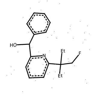 CCC(CC)(CF)c1cccc(C(O)c2ccccc2)n1